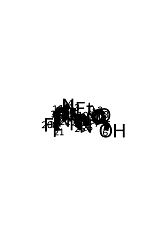 CCC1COC(CO)CN1c1cc(-c2cnc3ccc(C(F)F)nn23)ncn1